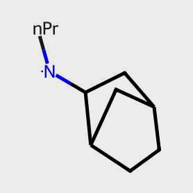 CCC[N]C1CC2CCC1C2